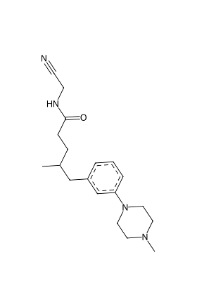 CC(CCC(=O)NCC#N)Cc1cccc(N2CCN(C)CC2)c1